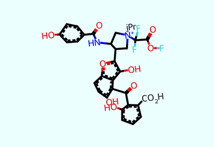 CC(C)[N+]1(C(F)(F)C(=O)OF)CC(NC(=O)c2ccc(O)cc2)C(c2oc3ccc(O)c(C(=O)c4c(O)cccc4C(=O)O)c3c2O)C1